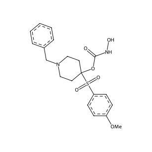 COc1ccc(S(=O)(=O)C2(OC(=O)NO)CCN(Cc3ccccc3)CC2)cc1